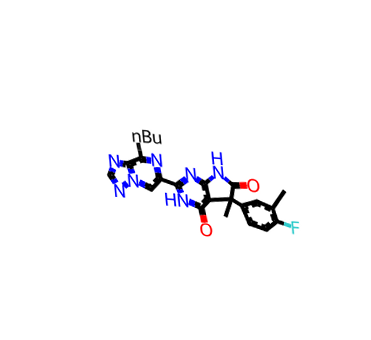 CCCCc1nc(-c2nc3c(c(=O)[nH]2)C(C)(c2ccc(F)c(C)c2)C(=O)N3)cn2ncnc12